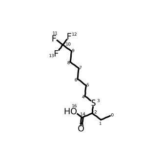 CCC(SCCCCCCC(F)(F)F)C(=O)O